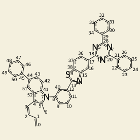 C=C/C=C\c1c(C)n(-c2cccc(-c3nc4cc(-c5nc(-c6ccccc6)nc(-c6ccccc6)n5)ccc4s3)c2)c2ccc(-c3ccccc3)cc12